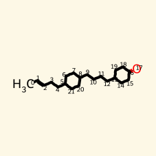 CC=CCCC1CCC(CCCCC2CCC(=O)CC2)CC1